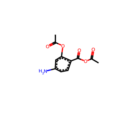 CC(=O)OC(=O)c1ccc(N)cc1OC(C)=O